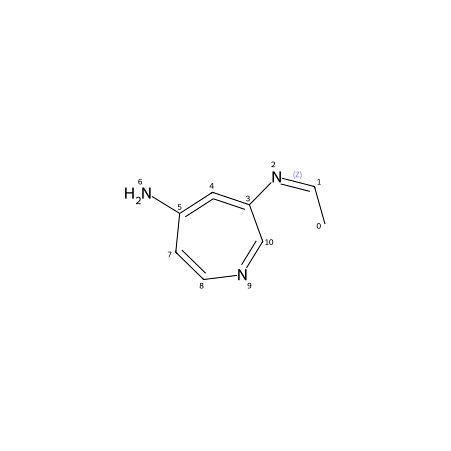 C/C=N\C1=C=C(N)C=CN=C1